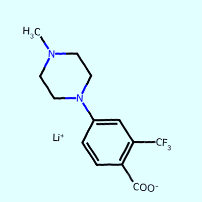 CN1CCN(c2ccc(C(=O)[O-])c(C(F)(F)F)c2)CC1.[Li+]